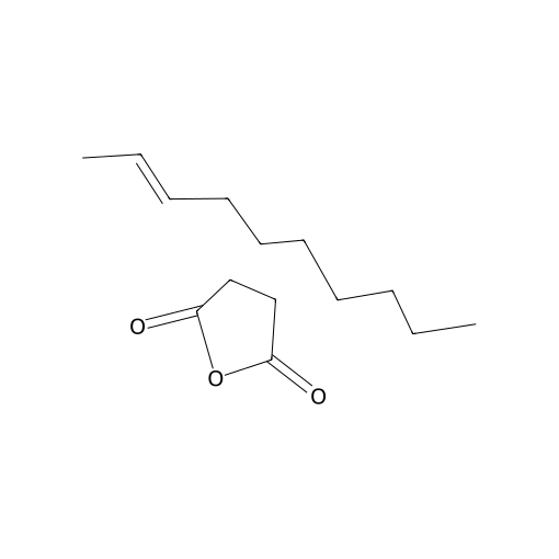 CC=CCCCCCCC.O=C1CCC(=O)O1